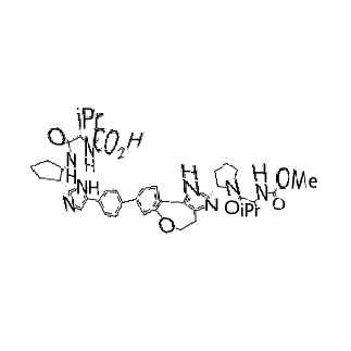 COC(=O)N[C@H](C(=O)N1CCC[C@H]1c1nc2c([nH]1)-c1ccc(-c3ccc(-c4cnc([C@@H]5CCC[C@@H]5NC(=O)[C@@H](NC(=O)O)C(C)C)[nH]4)cc3)cc1OCC2)C(C)C